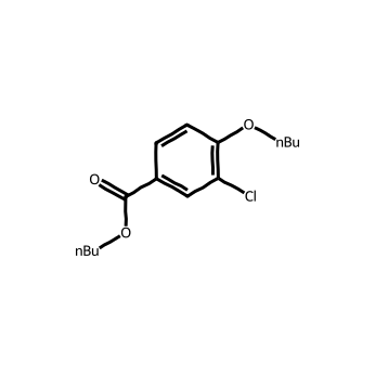 CCCCOC(=O)c1ccc(OCCCC)c(Cl)c1